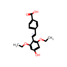 CCOc1cc(O)cc(OCC)c1/C=C/c1ccc(C(=O)O)cc1